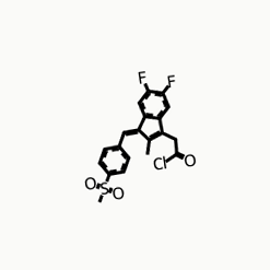 CC1=C(CC(=O)Cl)c2cc(F)c(F)cc2C1=Cc1ccc(S(C)(=O)=O)cc1